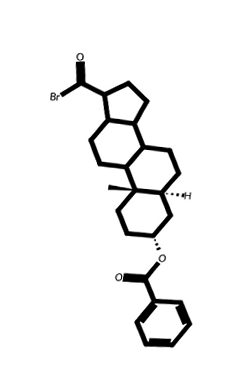 C[C@]12CC[C@@H](OC(=O)c3ccccc3)C[C@@H]1CCC1C3CCC(C(=O)Br)C3CCC12